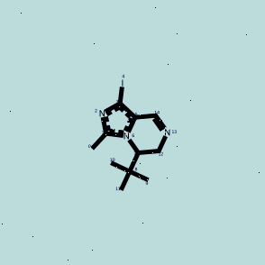 Cc1nc(I)c2n1C(C(C)(C)C)CN=C2